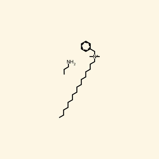 CCCCCCCCCCCCCCCC[N+](C)(C)Cc1ccccc1.CCCN